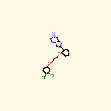 Clc1ccc(OCCCOc2ccccc2-c2cn3c(n2)CNCC3)cc1Cl